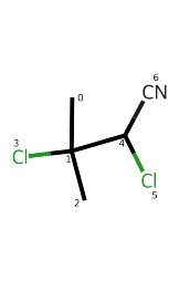 CC(C)(Cl)C(Cl)C#N